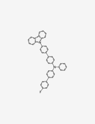 Fc1ccc(-c2ccc(N(c3ccccc3)c3ccc(-c4ccc(-n5c6ccccc6c6ccccc65)cc4)cc3)cc2)cc1